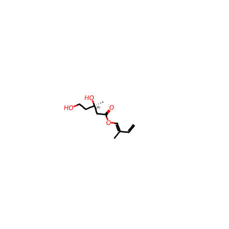 C=CC(C)=COC(=O)C[C@](C)(O)CCO